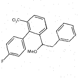 CO[C](Cc1ccccc1)c1cccc(C(Cl)(Cl)Cl)c1-c1ccc(F)cc1